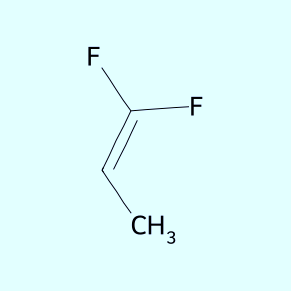 CC=C(F)F